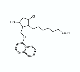 O=C(O)CCCCCCC1C(Cl)CC(O)C1COc1cccc2ccccc12